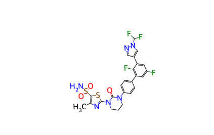 Cc1nc(N2CCCN(c3ccc(-c4cc(F)cc(-c5cnn(C(F)F)c5)c4F)cc3)C2=O)sc1S(N)(=O)=O